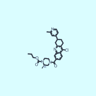 CCCOC(=O)N1CCN(C(=O)c2ccc3c(Cl)c4c(nc3c2)CC(c2ccnc(C)c2)CC4)C[C@H]1C